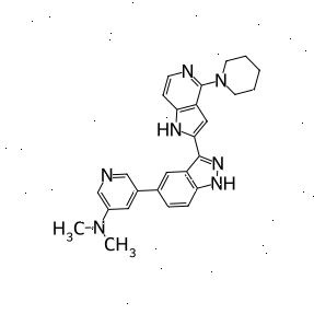 CN(C)c1cncc(-c2ccc3[nH]nc(-c4cc5c(N6CCCCC6)nccc5[nH]4)c3c2)c1